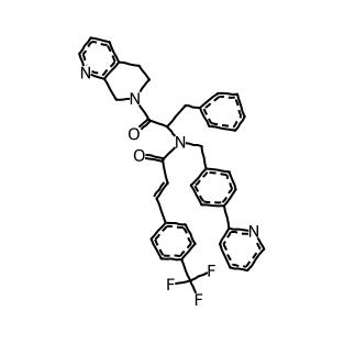 O=C(C(Cc1ccccc1)N(Cc1ccc(-c2ccccn2)cc1)C(=O)C=Cc1ccc(C(F)(F)F)cc1)N1CCc2cccnc2C1